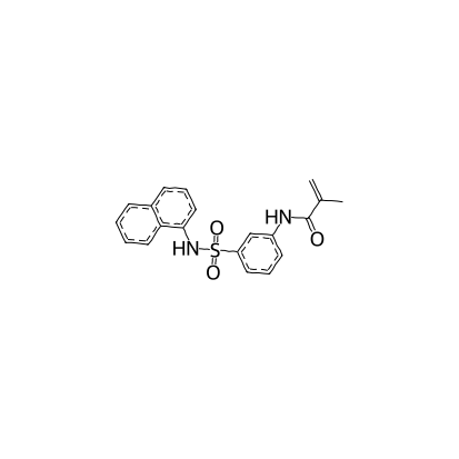 C=C(C)C(=O)Nc1cccc(S(=O)(=O)Nc2cccc3ccccc23)c1